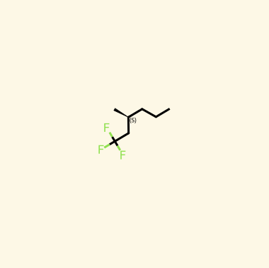 CCC[C@H](C)CC(F)(F)F